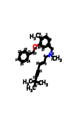 Cc1ccc(CN(C)CC=CC#CC(C)(C)C)cc1OCc1ccccc1